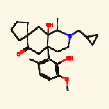 COc1ccc(C)c(C23CCN(CC4CC4)C(C)C2(O)CC2(CCCC2)C(=O)C3)c1O